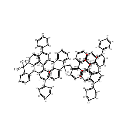 CC1(C)c2ccccc2N(c2cc(-c3ncncn3)ccc2-c2ccc(-c3ncncn3)cc2N2c3ccccc3C(C)(Cc3cccc4c3Sc3ccccc3N4c3cc(-c4ncncn4)ccc3-c3ccc(-c4ncncn4)cc3N3c4ccccc4Sc4ccccc43)c3ccccc32)c2ccccc21